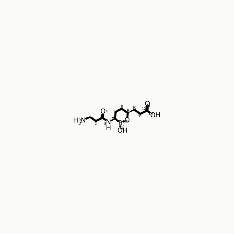 NCCC(=O)N[C@H]1CC[C@@H](CCC(=O)O)OB1O